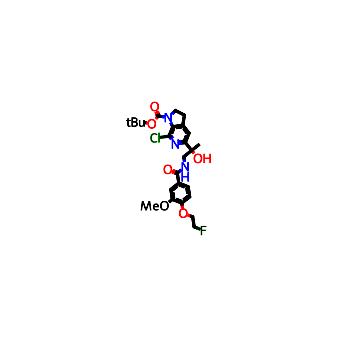 COc1cc(C(=O)NCC(C)(O)c2cc3c(c(Cl)n2)N(C(=O)OC(C)(C)C)CC3)ccc1OCCF